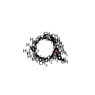 CC[C@@H]1NC(=O)[C@H]([C@H](O)[C@H](C)Cc2nc3ccc(C(=O)O)cc3n2C)N(C)C(=O)[C@H](C(C)C)N(C)C(=O)[C@H](CC(C)C)N(C)C(=O)[C@H](CC(C)C)N(C)C(=O)[C@@H](C)NC(=O)[C@H](C)NC(=O)[C@H](CC(C)C)N(C)C(=O)[C@H](C(C)C)NC(=O)[C@H](CC(C)C)N(C)C(=O)CN(C)C1=O